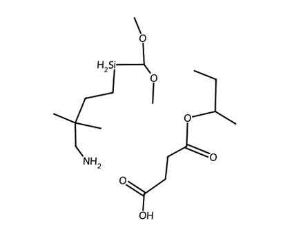 CCC(C)OC(=O)CCC(=O)O.COC(OC)[SiH2]CCC(C)(C)CN